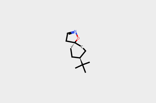 CC(C)(C)[C@H]1CC[C@@]2(C[C]=NO2)CC1